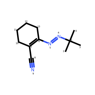 CC(C)(C)N=NC1=C(C#N)CCCC1